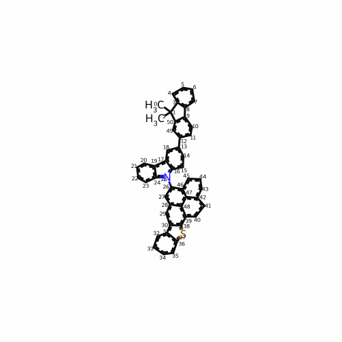 CC1(C)c2ccccc2-c2ccc(-c3ccc4c(c3)c3ccccc3n4-c3cc4cc5c6ccccc6sc5c5ccc6cccc3c6c45)cc21